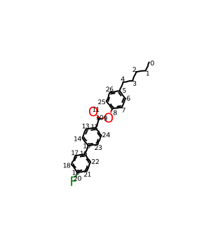 CCCCCc1ccc(OC(=O)c2ccc(-c3ccc(F)cc3)cc2)cc1